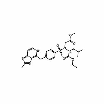 CCOC(=O)[C@H](CC(C)C)N(CC(=O)OC)S(=O)(=O)c1ccc(Cc2[nH]ccc3nc(C)nc2-3)cc1